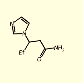 [CH2]CC(CC(N)=O)n1ccnc1